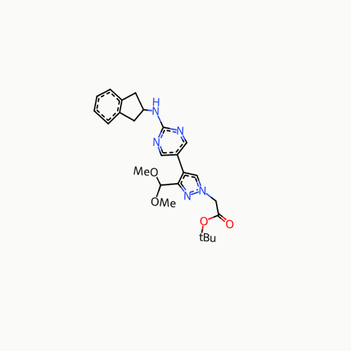 COC(OC)c1nn(CC(=O)OC(C)(C)C)cc1-c1cnc(NC2Cc3ccccc3C2)nc1